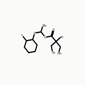 CC(C)CC(CO)(C(=O)OC(OC1CCCCC1F)C(C)(C)C)C(C)C